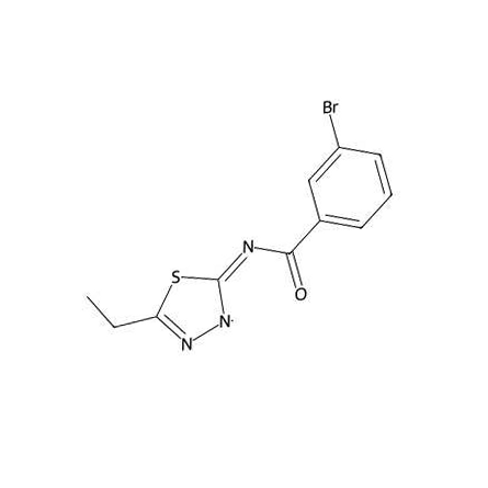 CCC1=N[N]C(=NC(=O)c2cccc(Br)c2)S1